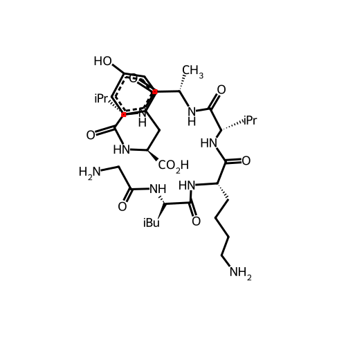 CC[C@H](C)[C@H](NC(=O)CN)C(=O)N[C@@H](CCCCN)C(=O)N[C@H](C(=O)N[C@@H](C)C(=O)N[C@H](C(=O)N[C@@H](Cc1ccc(O)cc1)C(=O)O)C(C)C)C(C)C